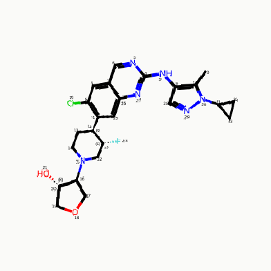 Cc1c(Nc2ncc3cc(Cl)c([C@@H]4CCN(C5COC[C@@H]5O)C[C@H]4F)cc3n2)cnn1C1CC1